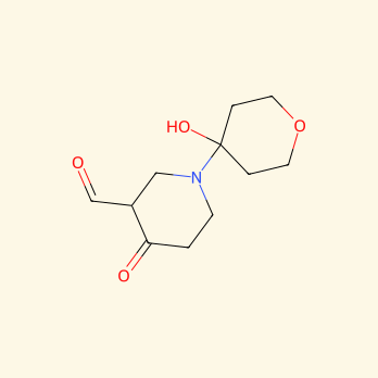 O=CC1CN(C2(O)CCOCC2)CCC1=O